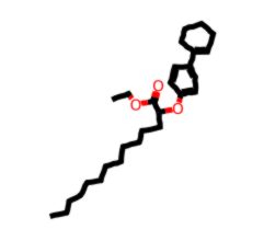 CCCCCCCCCCCCC(Oc1ccc(C2=CCCCC2)cc1)C(=O)OCC